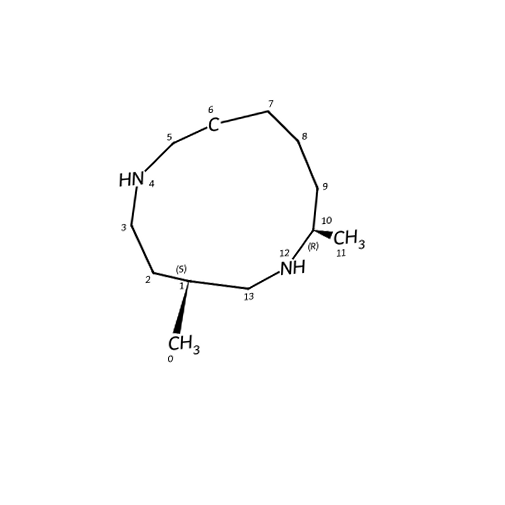 C[C@H]1CCNCCCCC[C@@H](C)NC1